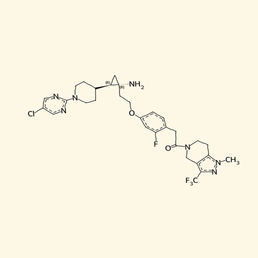 Cn1nc(C(F)(F)F)c2c1CCN(C(=O)Cc1ccc(OCC[C@]3(N)C[C@@H]3C3CCN(c4ncc(Cl)cn4)CC3)cc1F)C2